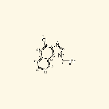 CC(C)Cn1cnc2c(Cl)nc3ccccc3c21